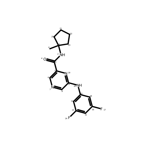 CC1(NC(=O)c2cncc(Nc3cc(F)cc(F)c3)n2)CCCC1